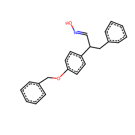 ON=CC(Cc1ccccc1)c1ccc(OCc2ccccc2)cc1